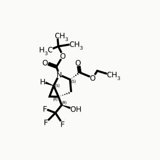 CCOC(=O)[C@@H]1C[C@]2([C@@H](O)C(F)(F)F)C[C@@H]2N1C(=O)OC(C)(C)C